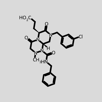 CN1CC(=O)N2[C@@H](CCC(=O)O)C(=O)N(Cc3cccc(Cl)c3)C[C@@H]2N1C(=O)NCc1ccccc1